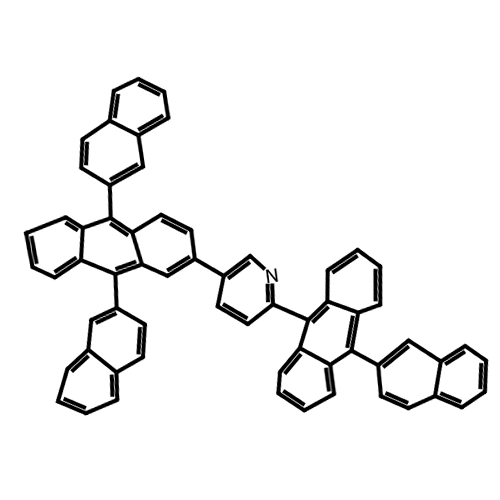 c1ccc2cc(-c3c4ccccc4c(-c4ccc5ccccc5c4)c4cc(-c5ccc(-c6c7ccccc7c(-c7ccc8ccccc8c7)c7ccccc67)nc5)ccc34)ccc2c1